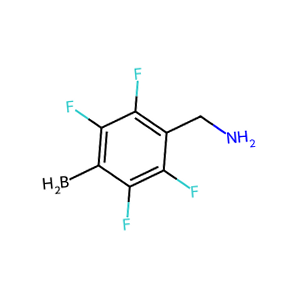 Bc1c(F)c(F)c(CN)c(F)c1F